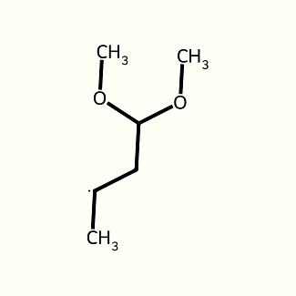 C[CH]CC(OC)OC